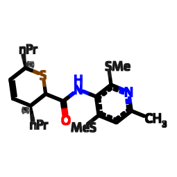 CCC[C@H]1C=C[C@@H](CCC)SC1C(=O)Nc1c(SC)cc(C)nc1SC